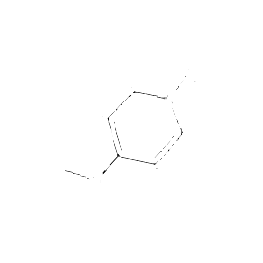 CCOC1=CCN(C)C=C1